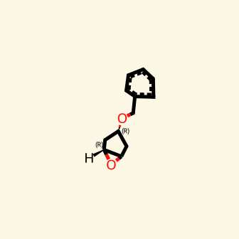 c1ccc(CO[C@@H]2CC3O[C@@H]3C2)cc1